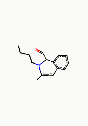 CCCCN1C(C)=Cc2ccccc2C1C=O